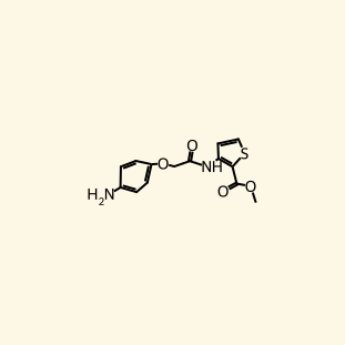 COC(=O)c1sccc1NC(=O)COc1ccc(N)cc1